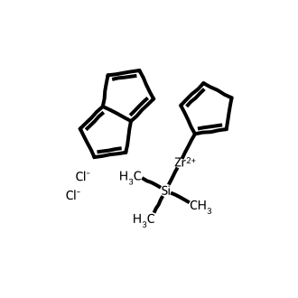 C1=CC2=CC=CC2=C1.C[Si](C)(C)[Zr+2][C]1=CCC=C1.[Cl-].[Cl-]